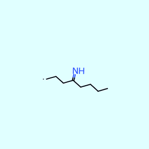 [CH2]CCC(=N)CCCC